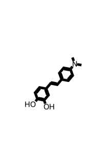 CN(C)c1ccc(/C=C/c2ccc(O)c(O)c2)cc1